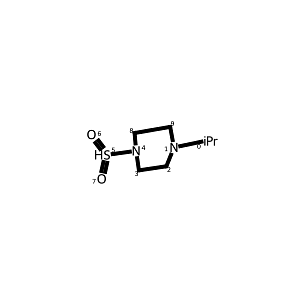 CC(C)N1CCN([SH](=O)=O)CC1